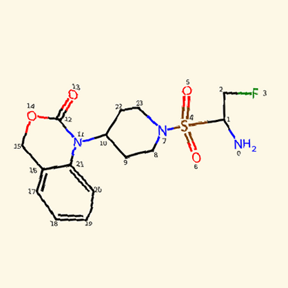 NC(CF)S(=O)(=O)N1CCC(N2C(=O)OCc3ccccc32)CC1